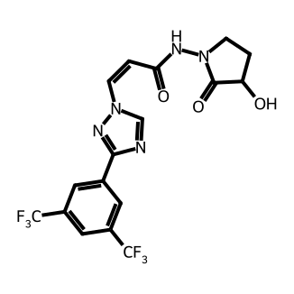 O=C(/C=C\n1cnc(-c2cc(C(F)(F)F)cc(C(F)(F)F)c2)n1)NN1CCC(O)C1=O